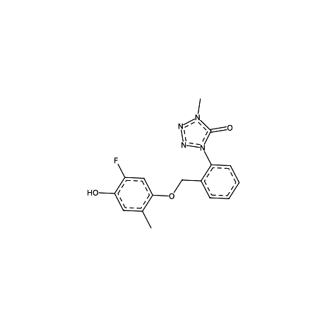 Cc1cc(O)c(F)cc1OCc1ccccc1-n1nnn(C)c1=O